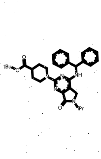 CC(C)N1Cc2c(NC(c3ccccc3)c3ccccc3)nc(N3CCC(C(=O)OC(C)(C)C)CC3)nc2C1=O